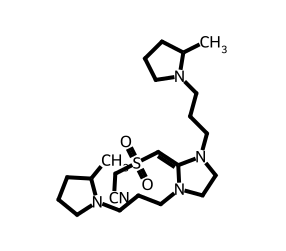 CC1CCCN1CCCN1CCN(CCCN2CCCC2C)C1=CS(=O)(=O)CC#N